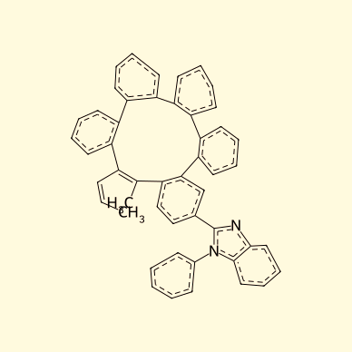 C/C=C\C1=C(/C)c2ccc(-c3nc4ccccc4n3-c3ccccc3)cc2-c2ccccc2-c2ccccc2-c2ccccc2-c2ccccc21